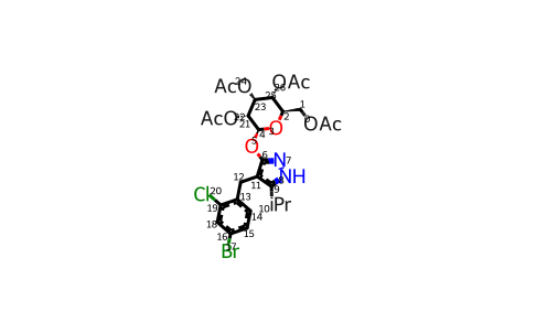 CC(=O)OC[C@H]1O[C@@H](Oc2n[nH]c(C(C)C)c2Cc2ccc(Br)cc2Cl)[C@H](OC(C)=O)[C@@H](OC(C)=O)[C@@H]1OC(C)=O